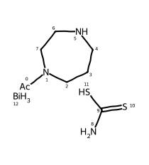 CC(=O)N1CCCNCC1.NC(=S)S.[BiH3]